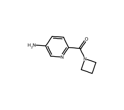 Nc1ccc(C(=O)N2CCC2)nc1